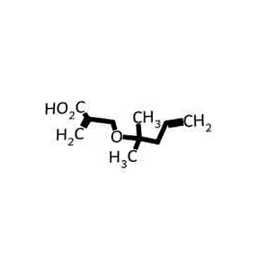 C=CCC(C)(C)OCC(=C)C(=O)O